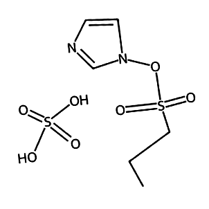 CCCS(=O)(=O)On1ccnc1.O=S(=O)(O)O